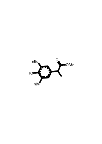 CCCCc1cc(C(C)C(=O)OC)cc(CCCC)c1O